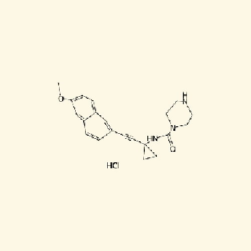 COc1ccc2cc(C#CC3(NC(=O)N4CCNCC4)CC3)ccc2c1.Cl